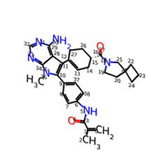 C=C(C)C(=O)Nc1ccc(-c2c(C3=CC[C@@H](C(=O)N4CCC5(CCC5)C4)CC3)c3c(N)ncnc3n2C)cc1